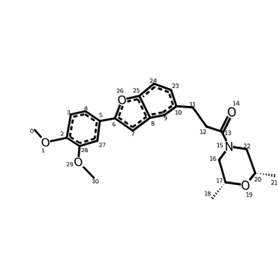 COc1ccc(-c2cc3cc(CCC(=O)N4C[C@@H](C)O[C@@H](C)C4)ccc3o2)cc1OC